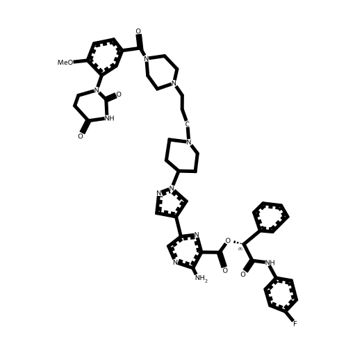 COc1ccc(C(=O)N2CCN(CCCN3CCC(n4cc(-c5cnc(N)c(C(=O)O[C@@H](C(=O)Nc6ccc(F)cc6)c6ccccc6)n5)cn4)CC3)CC2)cc1N1CCC(=O)NC1=O